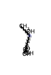 CCCCCC[C@@H](O)C/C=C\CCCCCCCC(=O)OC(CO)CO